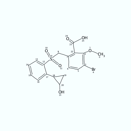 COc1c(Br)ccc(CS(=O)(=O)c2ccccc2C2CC2O)c1C(=O)O